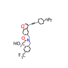 CCCc1ccc(C#Cc2coc3ccc(CN(Cc4ccc(C(F)(F)F)cc4)C(=O)C(=O)O)cc23)cc1